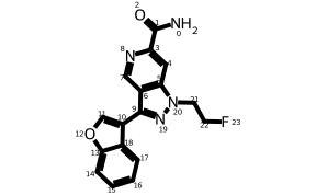 NC(=O)c1cc2c(cn1)c(-c1coc3ccccc13)nn2CCF